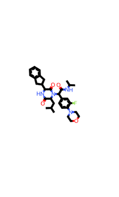 CC(C)CC1C(=O)NC(C2Cc3ccccc3C2)C(=O)N1C(C(=O)NC(C)C)c1ccc(N2CCOCC2)c(F)c1